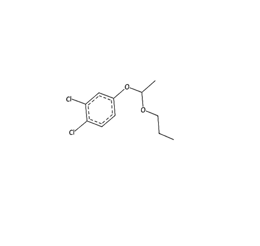 CCCOC(C)Oc1ccc(Cl)c(Cl)c1